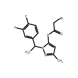 Cc1cc(OC(=O)CC(C)C)n(C(C)c2ccc(F)c(F)c2)n1